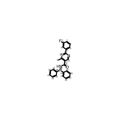 Cc1nc(-c2cccc(F)c2)ncc1C(=O)NN(c1ccccc1)c1ccccc1